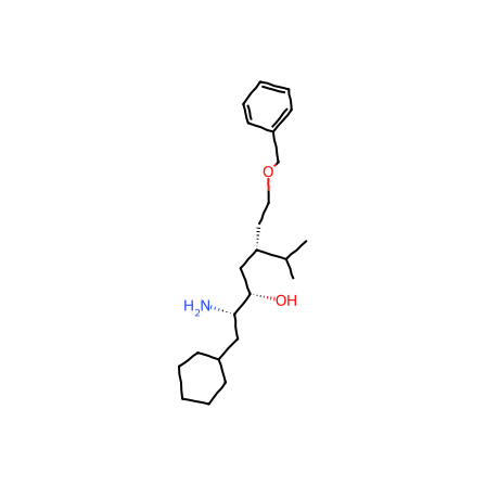 CC(C)[C@@H](CCOCc1ccccc1)C[C@H](O)[C@@H](N)CC1CCCCC1